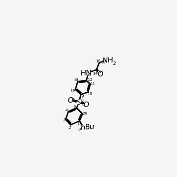 CCCCc1cccc(S(=O)(=O)c2ccc(NC(=O)CN)cc2)c1